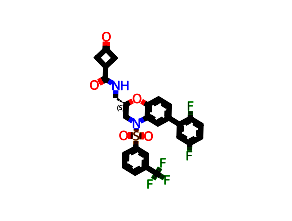 O=C1CC(C(=O)NC[C@H]2CN(S(=O)(=O)c3cccc(C(F)(F)F)c3)c3cc(-c4cc(F)ccc4F)ccc3O2)C1